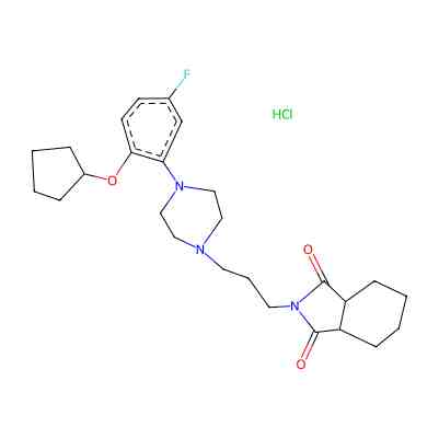 Cl.O=C1C2CCCCC2C(=O)N1CCCN1CCN(c2cc(F)ccc2OC2CCCC2)CC1